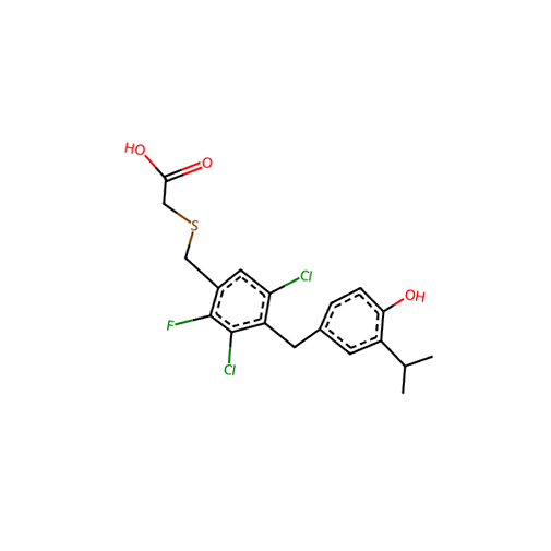 CC(C)c1cc(Cc2c(Cl)cc(CSCC(=O)O)c(F)c2Cl)ccc1O